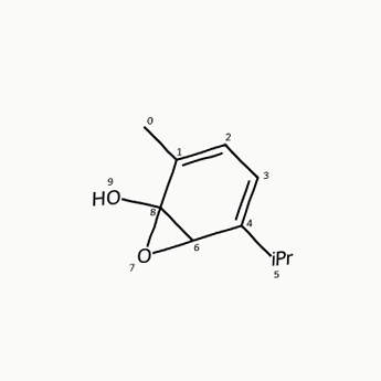 CC1=CC=C(C(C)C)C2OC12O